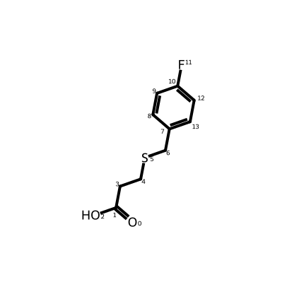 O=C(O)CCSCc1ccc(F)cc1